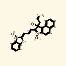 C=CCC1(C)C(/C=C/C=C2\Oc3ccccc3N2C)=[N+](C)c2ccc3ccccc3c21